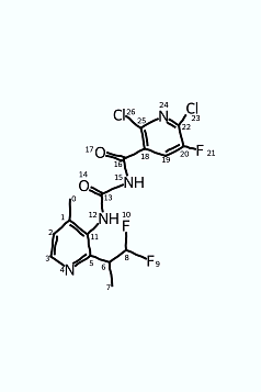 Cc1ccnc(C(C)C(F)F)c1NC(=O)NC(=O)c1cc(F)c(Cl)nc1Cl